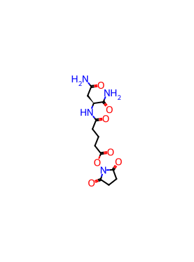 NC(=O)C[C@H](NC(=O)CCCC(=O)ON1C(=O)CCC1=O)C(N)=O